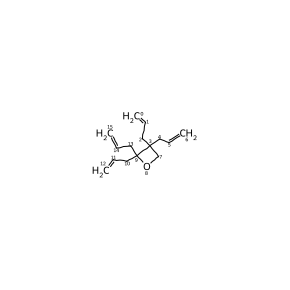 C=CCC1(CC=C)COC1(CC=C)CC=C